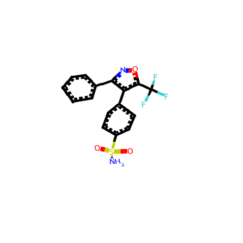 NS(=O)(=O)c1ccc(-c2c(-c3ccccc3)noc2C(F)(F)F)cc1